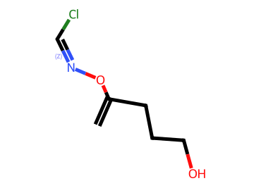 C=C(CCCO)O/N=C\Cl